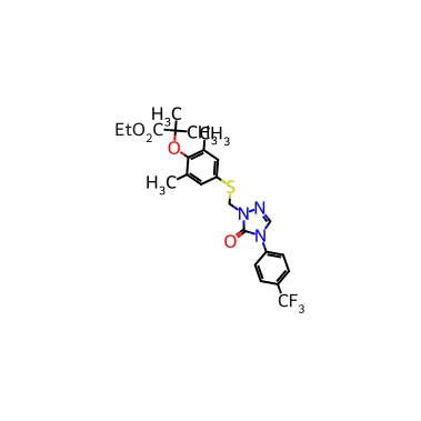 CCOC(=O)C(C)(C)Oc1c(C)cc(SCn2ncn(-c3ccc(C(F)(F)F)cc3)c2=O)cc1C